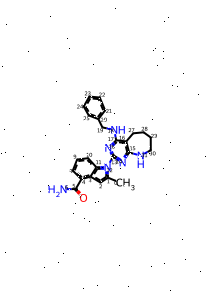 Cc1cc2c(C(N)=O)cccc2n1-c1nc2c(c(NCc3ccccc3)n1)CCCCN2